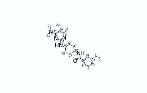 CCc1cccc(C(=O)NC2CCC(Nc3nc(C)c(C)c(N(C)C)n3)CC2)c1